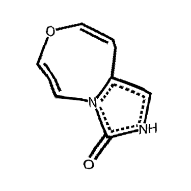 O=c1[nH]cc2n1C=COC=C2